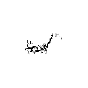 CCCCCCCS(=O)(=O)c1nn2cc(C(C)=O)c(=O)nc2s1